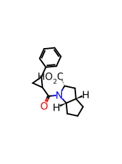 O=C(O)[C@@H]1C[C@@H]2CCC[C@@H]2N1C(=O)C1CC1c1ccccc1